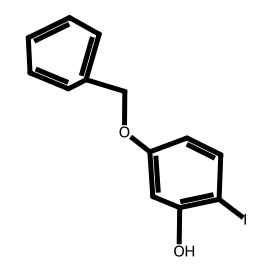 Oc1cc(OCc2ccccc2)ccc1I